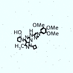 COc1cc(-n2cnc(Nc3nc(N4CCC[C@@H]4CO)c4c(C)nn(C5CCC5)c4n3)c2)cc(OC)c1OC